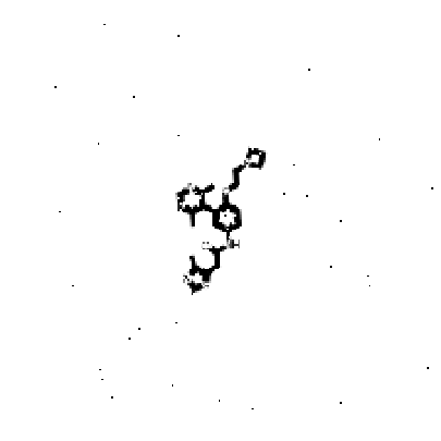 Cc1ncsc1CC(=O)Nc1ccc(OCCN2CCC2)c(-c2c(C)ncnc2C)c1